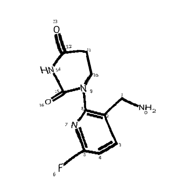 NCc1ccc(F)nc1N1CCC(=O)NC1=O